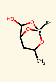 CC1CC2O[Si](C(C)C)(O1)OC2O